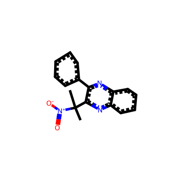 CC(C)(c1nc2ccccc2nc1-c1ccccc1)[N+](=O)[O-]